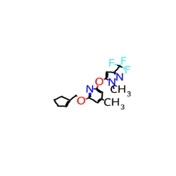 Cc1cc(OCC2=CCCC2)nc(Oc2cc(C(F)(F)F)nn2C)c1